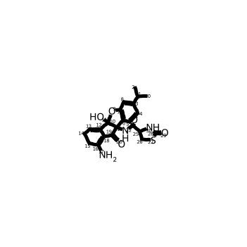 CC(C)c1ccc2c(c1)OC1(O)C3=CCCC(N)=C3C(=O)C21NC(=O)C1CSC(=O)N1